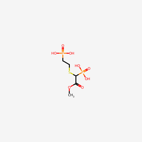 COC(=O)C(SCCP(=O)(O)O)P(=O)(O)O